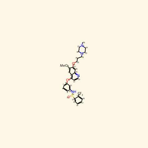 COc1cc2c(Oc3cccc(N[S+]([O-])c4ccccc4C(F)(F)F)c3)ccnc2cc1OCCCN1CCN(C)CC1